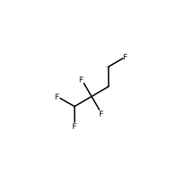 F[CH]CC(F)(F)C(F)F